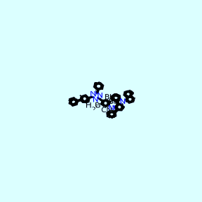 Bc1c(B)c(-n2c3ccccc3c3ccc4c(c5ccccc5n4-c4cccc5ccccc45)c32)c(C#N)c(B)c1-c1nc(-c2ccccc2)nc(-c2ccc(-c3ccccc3)cc2)n1